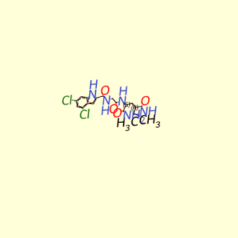 CC1(C)C[C@@H](C[C@H](NC(=O)CNC(=O)c2cc3c(Cl)cc(Cl)cc3[nH]2)C(N)=O)C(=O)N1